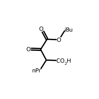 CCCC(C(=O)O)C(=O)C(=O)OC(C)CC